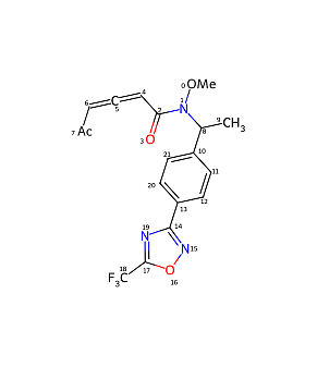 CON(C(=O)C=C=CC(C)=O)C(C)c1ccc(-c2noc(C(F)(F)F)n2)cc1